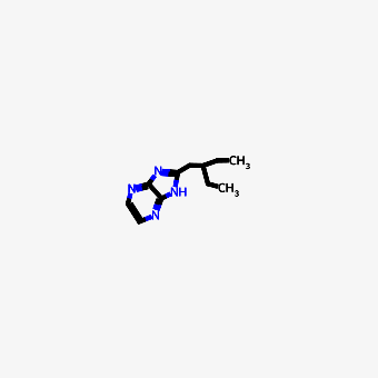 CCC(CC)Cc1nc2nccnc2[nH]1